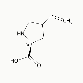 C=CC1CN[C@H](C(=O)O)C1